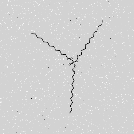 CCCCCCCCCCCCSOP(=O)(OSCCCCCCCCCCCC)OSCCCCCCCCCCCC